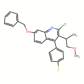 COCC(C)c1c(Cl)nc2cc(OCc3ccccc3)ccc2c1-c1ccc(F)cc1